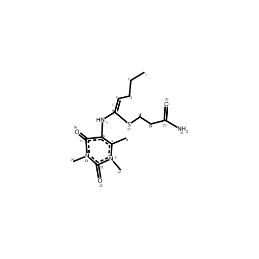 CCC/C=C(/Nc1c(C)n(C)c(=O)n(C)c1=O)SCCC(N)=O